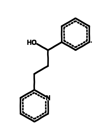 OC(CCc1ccccn1)c1c[c]ccc1